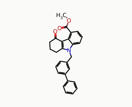 COC(=O)c1cccc2c1c1c(n2Cc2cccc(-c3ccccc3)c2)CCCC1=O